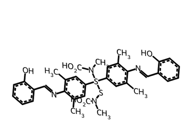 Cc1cc(S(SN(C)C(=O)O)(c2cc(C)c(N=Cc3ccccc3O)c(C)c2)N(C)C(=O)O)cc(C)c1N=Cc1ccccc1O